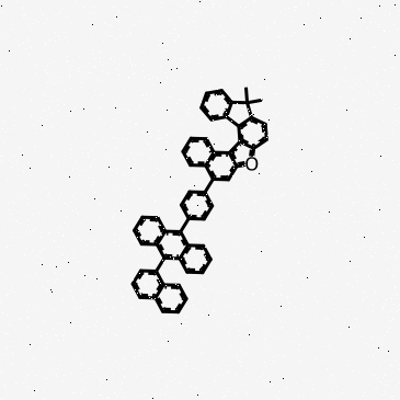 CC1(C)c2ccccc2-c2c1ccc1oc3cc(-c4ccc(-c5c6ccccc6c(-c6cccc7ccccc67)c6ccccc56)cc4)c4ccccc4c3c21